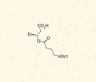 CCCCCCCCCCCC(=O)O[C@@H](CC)CC(=O)O